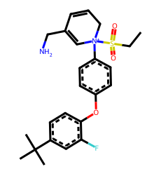 CCS(=O)(=O)[N+]1(c2ccc(Oc3ccc(C(C)(C)C)cc3F)cc2)C=C(CN)C=CC1